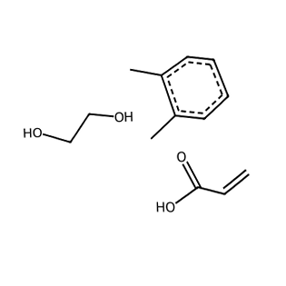 C=CC(=O)O.Cc1ccccc1C.OCCO